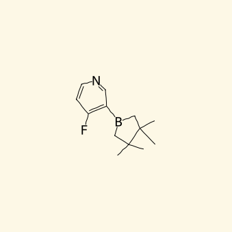 CC1(C)CB(c2cnccc2F)CC1(C)C